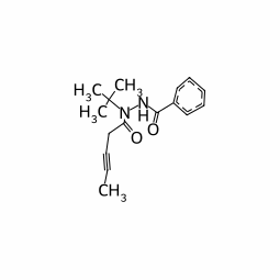 CC#CCC(=O)N(NC(=O)c1ccccc1)C(C)(C)C